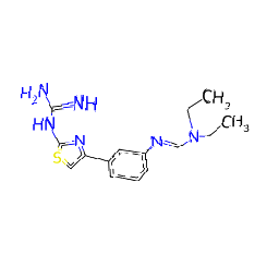 CCN(C=Nc1cccc(-c2csc(NC(=N)N)n2)c1)CC